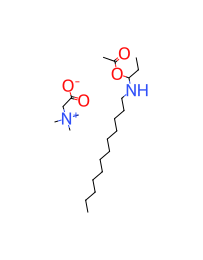 CCCCCCCCCCCCNC(CC)OC(C)=O.C[N+](C)(C)CC(=O)[O-]